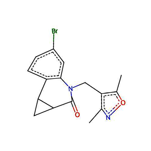 Cc1noc(C)c1CN1C(=O)C2CC2c2ccc(Br)cc21